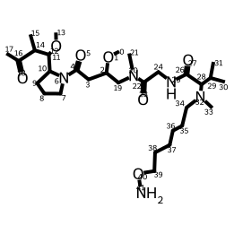 COC(CC(=O)N1CCCC1C(OC)C(C)C(C)=O)CN(C)C(=O)CNC(=O)C(C(C)C)N(C)CCCCCCON